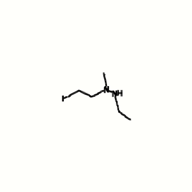 CCNN(C)CCI